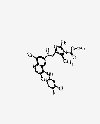 CCc1nc(CNc2cc(Cl)c3ncc(C#N)c(Nc4ccc(F)c(Cl)c4)c3c2)c(C)n1C(=O)OC(C)(C)C